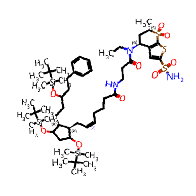 CCN(C(=O)CCNC(=O)CCC/C=C\C[C@H]1C(O[Si](C)(C)C(C)(C)C)CC(O[Si](C)(C)C(C)(C)C)[C@@H]1CCC(CCc1ccccc1)O[Si](C)(C)C(C)(C)C)[C@H]1C[C@H](C)S(=O)(=O)c2sc(S(N)(=O)=O)cc21